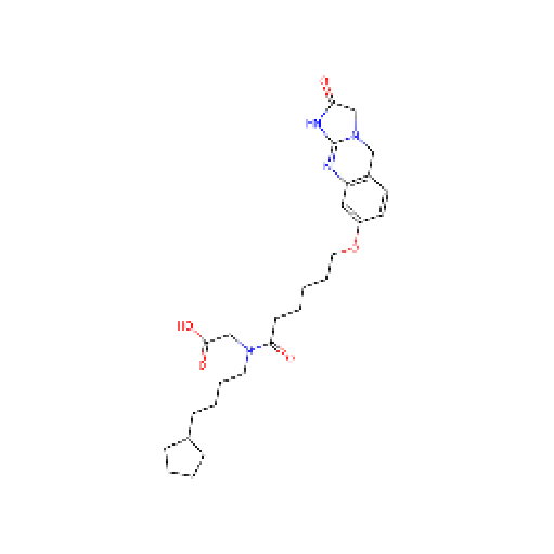 O=C(O)CN(CCCCC1CCCC1)C(=O)CCCCCOc1ccc2c(c1)N=C1NC(=O)CN1C2